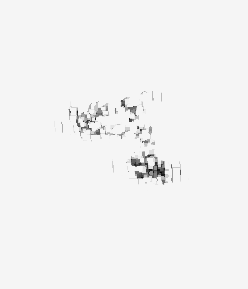 Cc1ccc(N(c2ccc(Cc3cc(C(C)C)c(O)c(C(C)(C)C)c3)cc2)c2ccc(Cc3cc(C(C)(C)C)c(O)c(C(C)(C)C)c3)cc2)cc1C